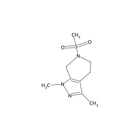 Cc1nn(C)c2c1CCN(S(C)(=O)=O)C2